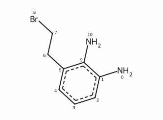 Nc1cccc(CCBr)c1N